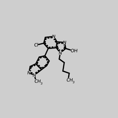 CCCCCn1c(O)nc2ncc(Cl)c(-c3ccc4c(cnn4C)c3)c21